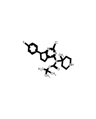 CC(C)(C)OC(=O)N(c1nc(Cl)nc2c1CCC2c1ccc(F)cc1)C1(C)CCNCC1